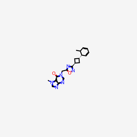 CC1C=CC=CC1[C@H]1C[C@H](c2noc(Cn3cnc4ncn(C)c4c3=O)n2)C1